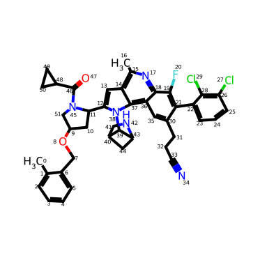 Cc1ccccc1COC1CC(c2cc3c(C)nc4c(F)c(-c5cccc(Cl)c5Cl)c(CCC#N)cc4c3n2C2C3CNC2C3)N(C(=O)C2CC2)C1